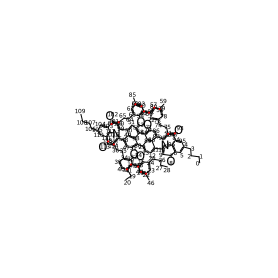 CCCCc1cc2c(=O)cc3c4cc(Oc5c(CCCC)cccc5CCCC)c5c6c(Oc7c(CCCC)cccc7CCCC)cc7c8c(cc(Oc9c(CCCC)cccc9CCCC)c(c9c(Oc%10c(CCCC)cccc%10CCCC)cc(c4c59)c4cc(=O)c(c1)c2n34)c68)c1cc(=O)c2cc(CCCC)cc3c(=O)cc7n1c32